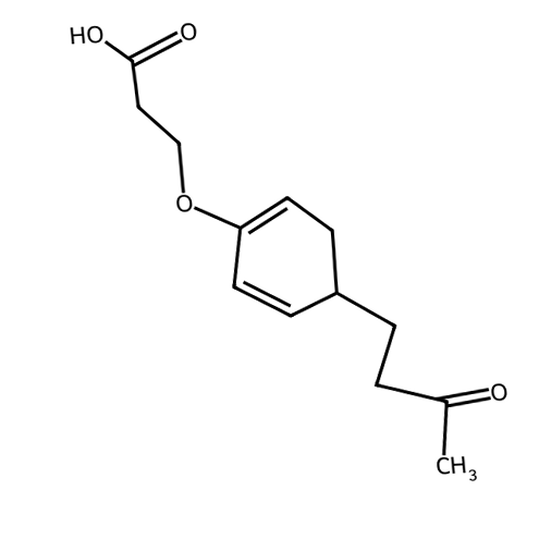 CC(=O)CCC1C=CC(OCCC(=O)O)=CC1